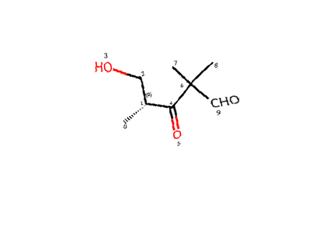 C[C@H](CO)C(=O)C(C)(C)C=O